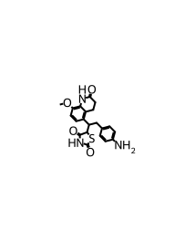 COc1ccc(C(Cc2ccc(N)cc2)C2SC(=O)NC2=O)c2c1NC(=O)CC2